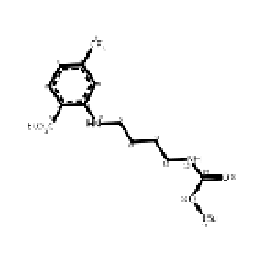 CCOC(=O)c1ccc(C(F)(F)F)cc1NCCCCNC(=O)OC(C)(C)C